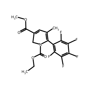 CCOC(=O)N1CC(C(=O)OC)=CC(C)=C1c1c(F)c(F)c(F)c(F)c1F